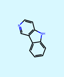 [c]1nccc2[nH]c3ccccc3c12